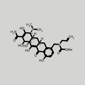 C=CCN(Cc1ccc(O)c2c1C[C@H]1C[C@H]3[C@H](N(C)C)C(O)=C(C(N)=O)C(O)[C@@]3(O)C(O)=C1C2=O)C(=O)OC